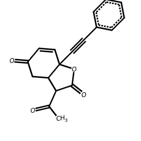 CC(=O)C1C(=O)OC2(C#Cc3ccccc3)C=CC(=O)CC12